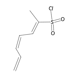 C=C/C=C\C=C(/C)S(=O)(=O)Cl